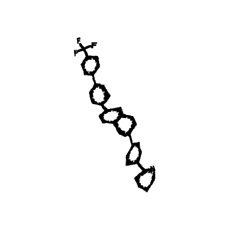 FC(F)(F)c1ccc(-c2ccc(-c3ccc4cc(-c5ccc(-c6ccccn6)cc5)ccc4c3)cc2)cc1